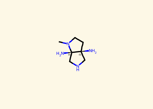 CN1CC[C@]2(N)CNC[C@]12N